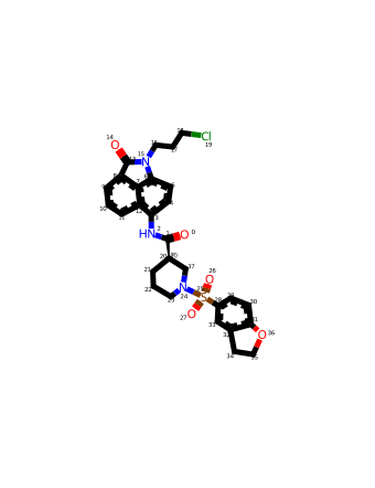 O=C(Nc1ccc2c3c(cccc13)C(=O)N2CCCCl)[C@@H]1CCCN(S(=O)(=O)c2ccc3c(c2)CCO3)C1